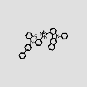 C1=CC2C(Sc3ccccc3N2c2ccc(-c3ccccc3)cc2)C(c2nsc(-c3cccc4c3c3cc5ccccc5cc3n4-c3ccccc3)n2)=C1